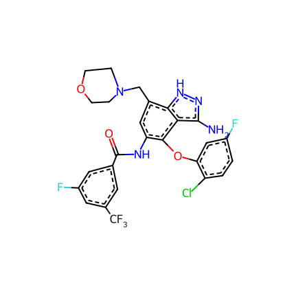 Nc1n[nH]c2c(CN3CCOCC3)cc(NC(=O)c3cc(F)cc(C(F)(F)F)c3)c(Oc3cc(F)ccc3Cl)c12